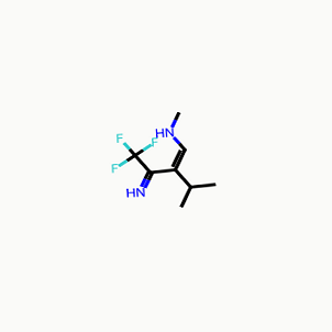 CN/C=C(\C(=N)C(F)(F)F)C(C)C